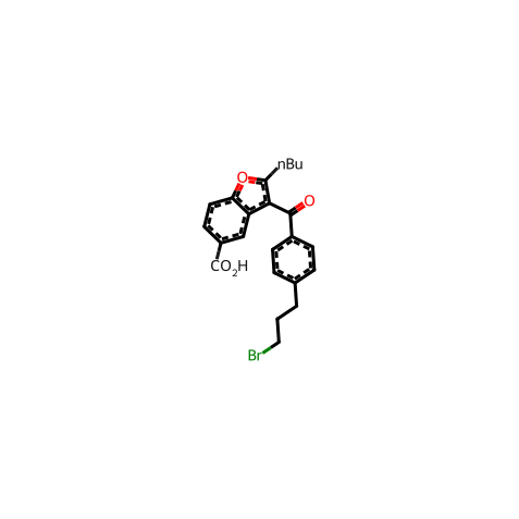 CCCCc1oc2ccc(C(=O)O)cc2c1C(=O)c1ccc(CCCBr)cc1